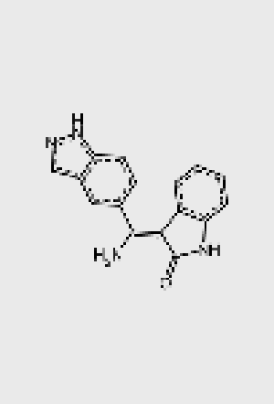 N/C(=C1\C(=O)Nc2ccccc21)c1ccc2[nH]ncc2c1